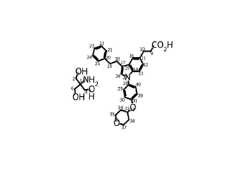 NC(CO)(CO)CO.O=C(O)CCc1ccc2c(c1)c(CCc1ccccc1)cn2-c1ccc(OC2CCOCC2)cc1